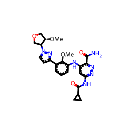 COc1c(Nc2cc(NC(=O)C3CC3)nnc2C(N)=O)cccc1-c1ccn(C2COC[C@H]2OC)n1